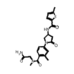 Cc1ccc(C(=O)NC2CC(=O)N(c3ccc(C(=O)N(C)CC(N)=O)c(C)c3)C2)s1